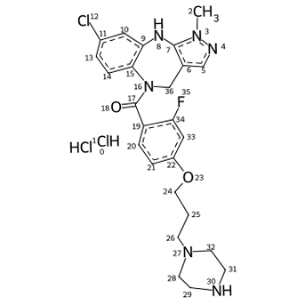 Cl.Cl.Cn1ncc2c1Nc1cc(Cl)ccc1N(C(=O)c1ccc(OCCCN3CCNCC3)cc1F)C2